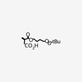 C=C(CC(=O)O)C(=O)OCCCCOOC(C)(C)C